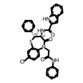 O=C(CN1C(=O)[C@H](NC(=O)c2cc3ccccc3[nH]2)[C@@H](c2ccccc2)Sc2cc(Cl)ccc21)Nc1ccccc1